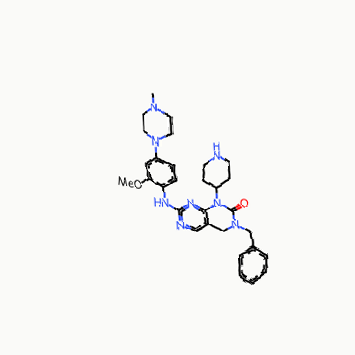 COc1cc(N2CCN(C)CC2)ccc1Nc1ncc2c(n1)N(C1CCNCC1)C(=O)N(Cc1ccccc1)C2